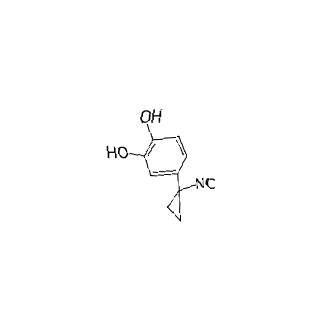 [C-]#[N+]C1(c2ccc(O)c(O)c2)CC1